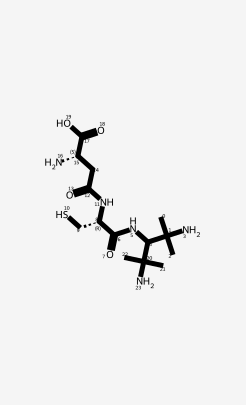 CC(C)(N)C(NC(=O)[C@H](CS)NC(=O)C[C@H](N)C(=O)O)C(C)(C)N